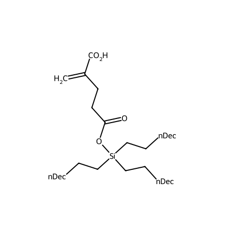 C=C(CCC(=O)O[Si](CCCCCCCCCCCC)(CCCCCCCCCCCC)CCCCCCCCCCCC)C(=O)O